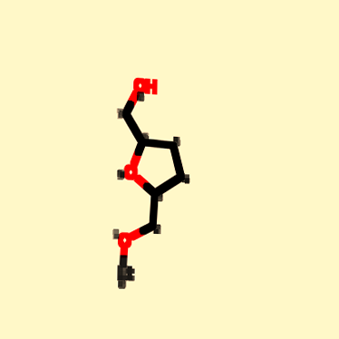 CCOCC1CCC(CO)O1